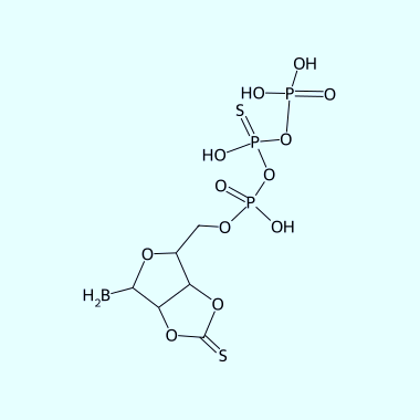 BC1OC(COP(=O)(O)OP(O)(=S)OP(=O)(O)O)C2OC(=S)OC12